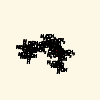 CC[C@H](C)[C@H](C[C@H](O)CC(=O)O[C@@H]1C(C)O[C@@H](OC(=O)[C@]23CCC(C)(C)CC2C2=CCC4[C@@]5(C)CC[C@H](O[C@@H]6OC(C(=O)O)[C@H](O)C(O[C@@H]7OC[C@@H](O)C(O)C7O)C6O[C@@H]6OC(CO)[C@H](O)C(O)C6O)[C@@](C)(C=O)C5CC[C@@]4(C)[C@]2(C)C[C@H]3O)C(O[C@@H]2OC(C)[C@H](O[C@H]3OCC(O)[C@H](O)C3O)C(O)C2O)C1O)OC(=O)C[C@@H](O)C[C@H](O[C@@H]1O[C@@H](CO)C(O)C1CO)[C@@H](C)CC